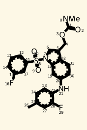 CNC(=O)OCc1cn(S(=O)(=O)c2cccc(F)c2)c2cc(Nc3ccc(C)cc3F)ccc12